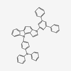 c1ccc(-c2cc(-c3ccccc3)cc(-n3ccc4c3ccc3c5ccccc5n(-c5ccc(N(c6ccccc6)c6ccccc6)cc5)c34)c2)cc1